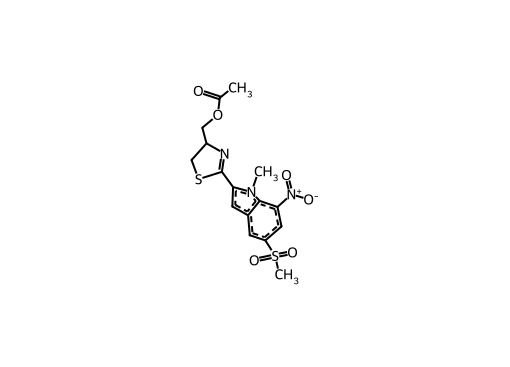 CC(=O)OCC1CSC(c2cc3cc(S(C)(=O)=O)cc([N+](=O)[O-])c3n2C)=N1